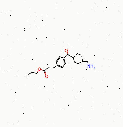 CCCOC(=O)CCc1ccc(C(=O)C2CCC(CN)CC2)cc1